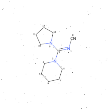 N#CN=C(N1C[CH]CCC1)N1CCCC1